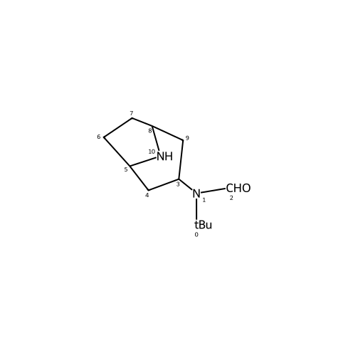 CC(C)(C)N(C=O)C1CC2CCC(C1)N2